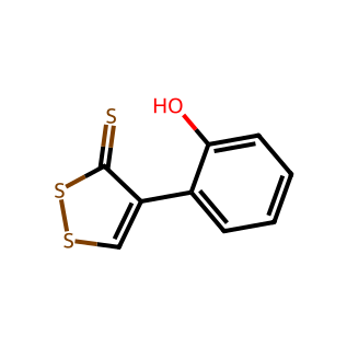 Oc1ccccc1-c1cssc1=S